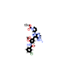 CC(C)(C)OC(=O)N1CCC[C@@H](n2nc(-c3ccc(NC(=O)c4cccc(Cl)c4)c4c3OCO4)c3c(N)ncnc32)C1